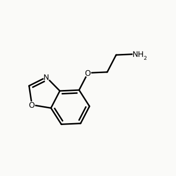 NCCOc1cccc2ocnc12